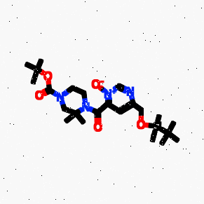 CC(C)(C)OC(=O)N1CCN(C(=O)c2cc(CO[Si](C)(C)C(C)(C)C)nc[n+]2[O-])C(C)(C)C1